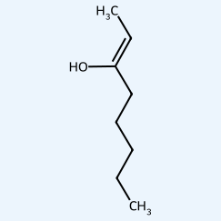 CC=C(O)CCCCC